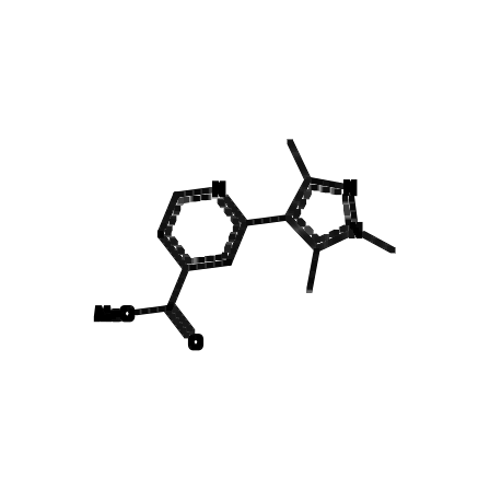 COC(=O)c1ccnc(-c2c(C)nn(C)c2C)c1